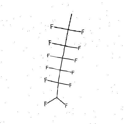 CC(F)(F)C(F)(F)C(F)(F)C(F)(F)C(F)(F)[C](F)F